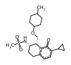 CC1CCC(OC[C@H]2[C@@H](NS(C)(=O)=O)CCc3ccc(C4CC4)c(=O)n32)CC1